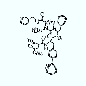 COC(=O)CC(C(=O)NC(Cc1ccc(-c2ccccn2)cc1)CC(O)C(Cc1ccccc1)NC(=O)N(NC(=O)OCc1cccnc1)C(C)(C)C)C(C)(C)C